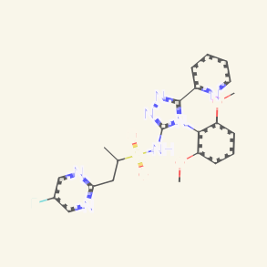 COc1cccc(OC)c1-n1c(NS(=O)(=O)C(C)Cc2ncc(F)cn2)nnc1-c1ccccn1